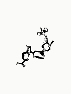 CN1CCN(c2cc(-c3cnc4ccc(C(F)F)nn34)ncn2)CC1CNS(C)(=O)=O